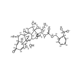 CC(=O)O[C@]1(C(=O)COC(=O)OCc2ccccc2[N+](=O)[O-])[C@@H](C)C[C@H]2[C@@H]3C[C@H](F)C4=CC(=O)C=C[C@]4(C)[C@@]3(F)[C@@H](O)C[C@@]21C